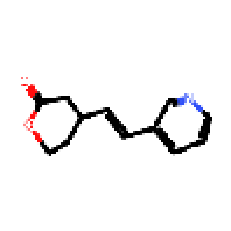 O=C1CC(C=Cc2cccnc2)CCO1